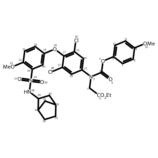 CCOC(=O)CN(C(=O)Oc1ccc(OC)cc1)c1cc(Cl)c(Oc2ccc(OC)c(S(=O)(=O)NC3CC4CCC3C4)c2)c(Cl)c1